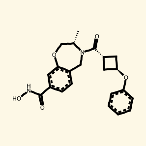 C[C@H]1COc2cc(C(=O)NO)ccc2CN1C(=O)[C@H]1C[C@H](Oc2ccccc2)C1